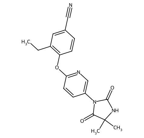 CCc1cc(C#N)ccc1Oc1ccc(N2C(=O)NC(C)(C)C2=O)cn1